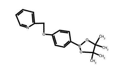 CC1(C)OB(c2ccc(OCc3ccccn3)cc2)OC1(C)C